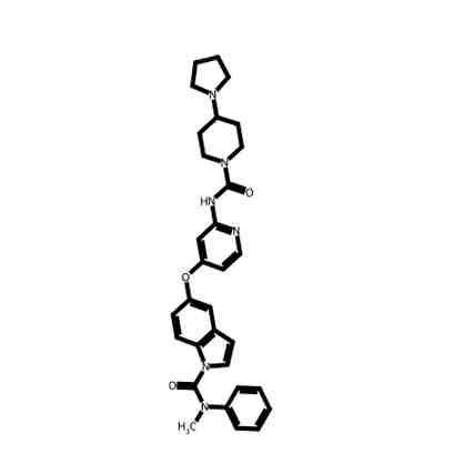 CN(C(=O)n1ccc2cc(Oc3ccnc(NC(=O)N4CCC(N5CCCC5)CC4)c3)ccc21)c1ccccc1